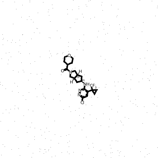 O=C(C1CCOCC1)N1C[C@H]2C[C@@H](Nc3nnc(Cl)cc3C3(C(F)(F)F)CC3)C[C@H]2C1